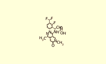 Cc1nnc(N[C@H](C)c2cccc(C(F)F)c2F)c2cn(C)c(=O)cc12.O=CO